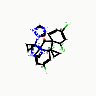 O=C(C1(C2(n3cncn3)CC2)C=CC(Cl)=CC1Cl)C1(C2(n3cncn3)CC2)C=CC(Cl)=CC1Cl